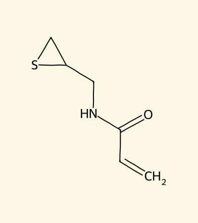 C=CC(=O)NCC1CS1